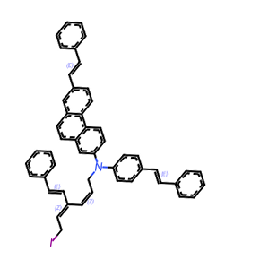 IC/C=C(\C=C/CN(c1ccc(/C=C/c2ccccc2)cc1)c1ccc2c(ccc3cc(/C=C/c4ccccc4)ccc32)c1)/C=C/c1ccccc1